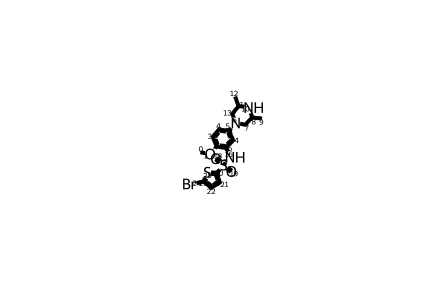 COc1ccc(N2CC(C)NC(C)C2)cc1NS(=O)(=O)c1ccc(Br)s1